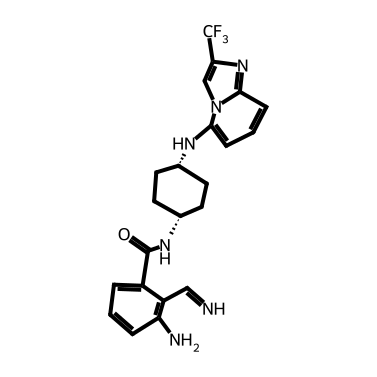 N=Cc1c(N)cccc1C(=O)N[C@H]1CC[C@@H](Nc2cccc3nc(C(F)(F)F)cn23)CC1